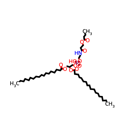 CCCCCCCCCCCCCCCCCC(=O)OCC(COP(=O)(O)OCCNC(=O)CCOC(=O)CCC)OC(=O)CCCCCCCCCCCCCCCCC